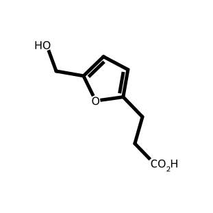 O=C(O)CCc1ccc(CO)o1